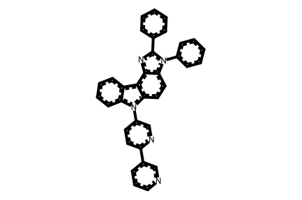 c1ccc(-c2nc3c4c5ccccc5n(-c5ccc(-c6cccnc6)nc5)c4ccc3n2-c2ccccc2)cc1